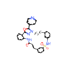 O=C(/C=C/c1cccc(S(=O)(=O)Nc2cccc(C(F)(F)F)c2)c1)Nc1ccccc1-c1nnc(-c2ccncc2)o1